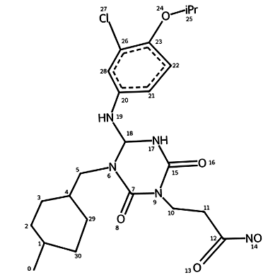 CC1CCC(CN2C(=O)N(CCC(=O)N=O)C(=O)NC2Nc2ccc(OC(C)C)c(Cl)c2)CC1